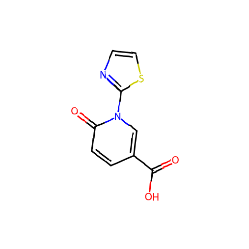 O=C(O)c1ccc(=O)n(-c2nccs2)c1